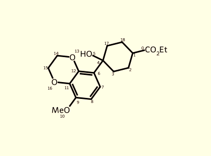 CCOC(=O)C1CCC(O)(c2ccc(OC)c3c2OCCO3)CC1